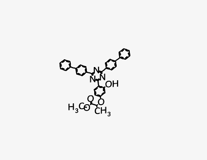 COC(=O)C(C)Oc1ccc(-c2nc(-c3ccc(-c4ccccc4)cc3)nc(-c3ccc(-c4ccccc4)cc3)n2)c(O)c1